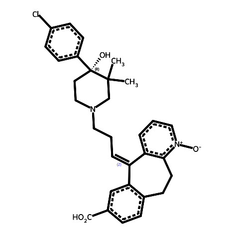 CC1(C)CN(CC/C=C2/c3cc(C(=O)O)ccc3CCc3c2ccc[n+]3[O-])CC[C@@]1(O)c1ccc(Cl)cc1